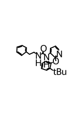 CC(C)(C)c1ccccc1Oc1ncccc1NC(=O)NCCc1ccccc1